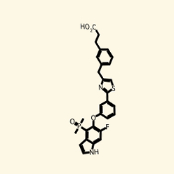 CP(C)(=O)c1c(Oc2cccc(-c3nc(Cc4cccc(CCC(=O)O)c4)cs3)c2)c(F)cc2[nH]ccc12